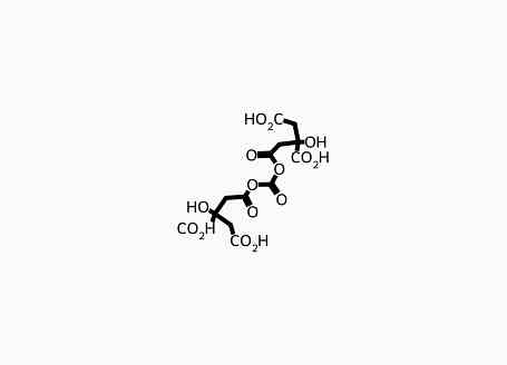 O=C(O)CC(O)(CC(=O)OC(=O)OC(=O)CC(O)(CC(=O)O)C(=O)O)C(=O)O